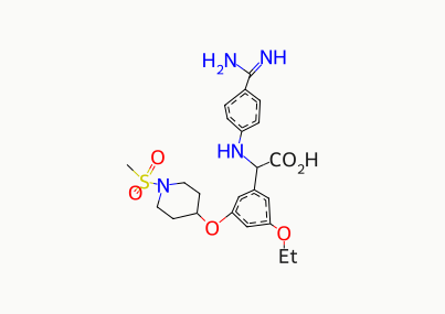 CCOc1cc(OC2CCN(S(C)(=O)=O)CC2)cc(C(Nc2ccc(C(=N)N)cc2)C(=O)O)c1